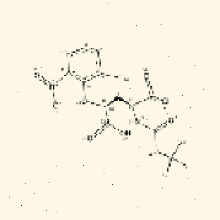 CC(C)(C)OC(=O)N[C@@H](C[C@H](Oc1c(F)cccc1[N+](=O)[O-])C(=O)O)C(=O)O